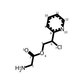 NCC(=O)OCC(Cl)c1ccccn1